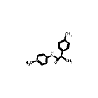 Cc1ccc(NC(=O)C(C)c2ccc(C)cc2)cc1